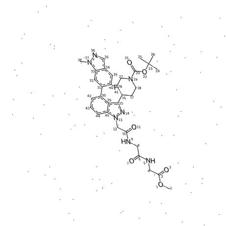 COC(=O)CNC(=O)CNC(=O)Cn1nc(C2CCN(C(=O)OC(C)(C)C)CC2)c2c(-c3cc4c(cnn4C)cc3F)cccc21